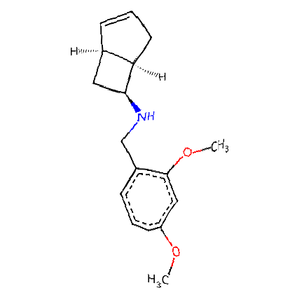 COc1ccc(CN[C@H]2C[C@H]3C=CC[C@H]32)c(OC)c1